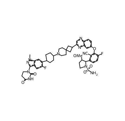 COC1CCN(S(N)(=O)=O)C1c1ccc(F)c(Oc2ccc3ncc(C4CC5(CCN(C6CCC(c7cc8c(cc7F)c(N7CCC(=O)NC7=O)nn8C)CC6)CC5)C4)nc3c2)c1C#N